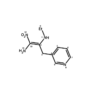 CCNC(Cc1cccnc1)=C(N)[N+](=O)[O-]